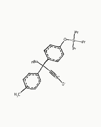 CCCCC(C#[N+][O-])(c1ccc(C)cc1)c1ccc(O[Si](C(C)C)(C(C)C)C(C)C)cc1